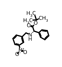 CC(C)(C)OC(=O)[C@@H](NCc1cccc([N+](=O)[O-])c1)c1ccccc1